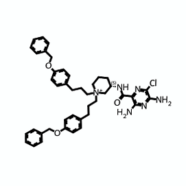 Nc1nc(N)c(C(=O)N[C@H]2CCC[N+](CCCc3ccc(OCc4ccccc4)cc3)(CCCc3ccc(OCc4ccccc4)cc3)C2)nc1Cl